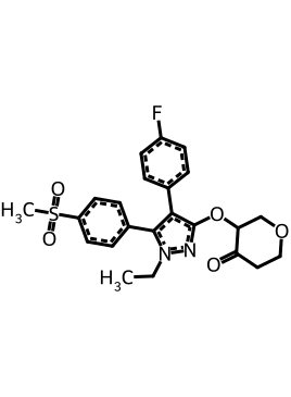 CCn1nc(OC2COCCC2=O)c(-c2ccc(F)cc2)c1-c1ccc(S(C)(=O)=O)cc1